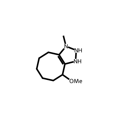 COC1CCCCCC2=C1NNN2C